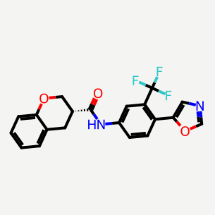 O=C(Nc1ccc(-c2cnco2)c(C(F)(F)F)c1)[C@H]1COc2ccccc2C1